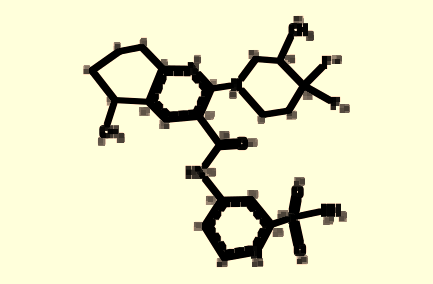 CC1CCCc2nc(N3CCC(F)(F)C(C)C3)c(C(=O)Nc3ccnc(S(N)(=O)=O)c3)cc21